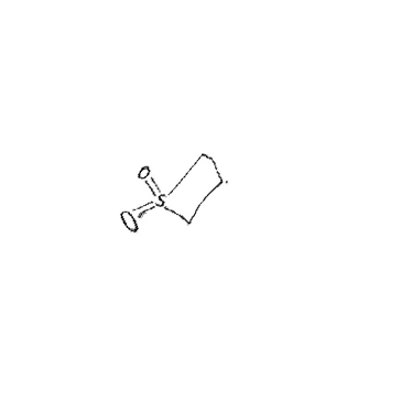 O=S1(=O)C[CH]C1